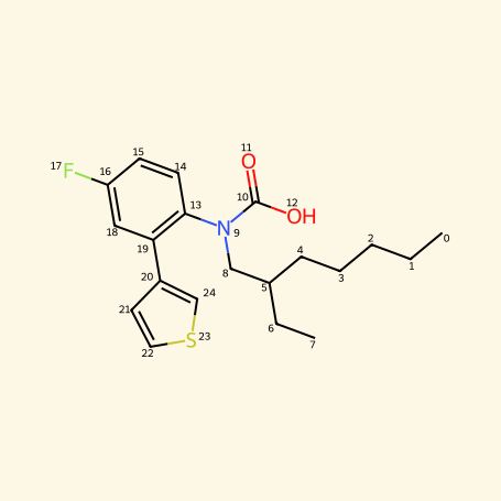 CCCCCC(CC)CN(C(=O)O)c1ccc(F)cc1-c1ccsc1